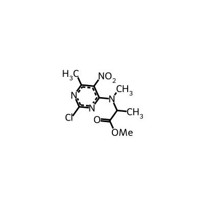 COC(=O)C(C)N(C)c1nc(Cl)nc(C)c1[N+](=O)[O-]